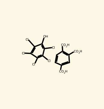 O=C(O)c1ccc(C(=O)O)c(C(=O)O)c1.Oc1c(Cl)c(Cl)c(Cl)c(Cl)c1Cl